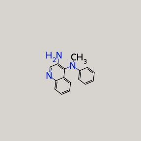 CN(c1ccccc1)c1c(N)cnc2ccccc12